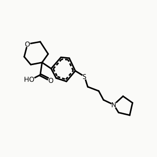 O=C(O)C1(c2ccc(SCCCN3CCCC3)cc2)CCOCC1